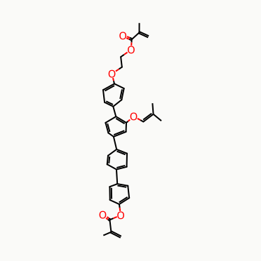 C=C(C)C(=O)OCCOc1ccc(-c2ccc(-c3ccc(-c4ccc(OC(=O)C(=C)C)cc4)cc3)cc2OC=C(C)C)cc1